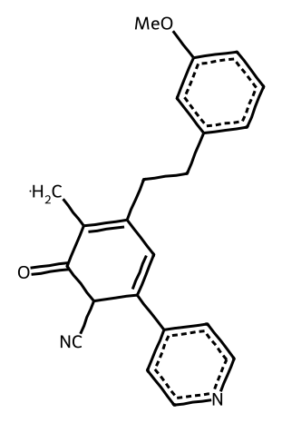 [CH2]C1=C(CCc2cccc(OC)c2)C=C(c2ccncc2)C(C#N)C1=O